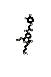 CC(C)(C)OC(=O)N1C[C@@H](NC(=O)COc2ccc(Cl)c(F)c2)CC[C@@H]1C(=O)NCCCCC(F)(F)F